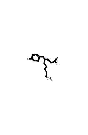 CCCCCC/C(C=CC(=O)O)=C\c1ccc(F)cc1